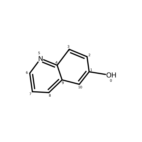 Oc1c[c]c2ncccc2c1